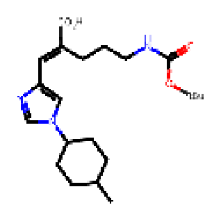 CC1CCC(n2cnc(C=C(CCCNC(=O)OC(C)(C)C)C(=O)O)c2)CC1